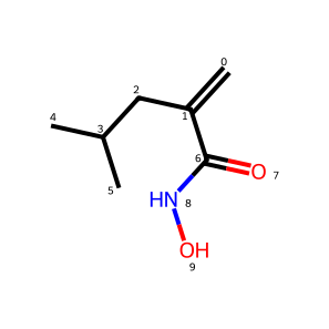 C=C(CC(C)C)C(=O)NO